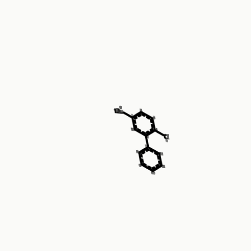 CC(C)(C)c1ccc(Cl)c(-c2ccccc2)c1